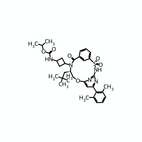 Cc1cccc(C)c1-c1cc2nc(n1)NS(=O)(=O)c1cccc(c1)C(=O)N(C1CC(NC(=O)OC(C)C)C1)[C@H](CC(C)(C)C)CO2